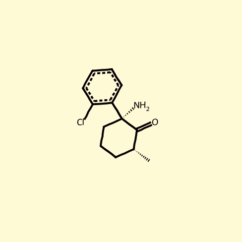 C[C@@H]1CCC[C@@](N)(c2ccccc2Cl)C1=O